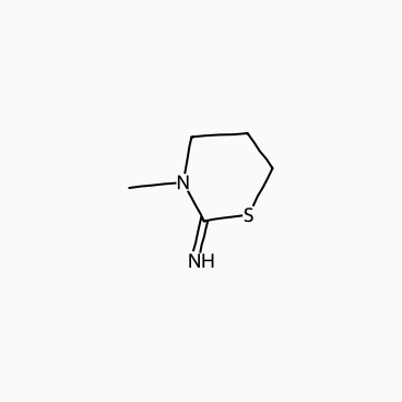 CN1CCCSC1=N